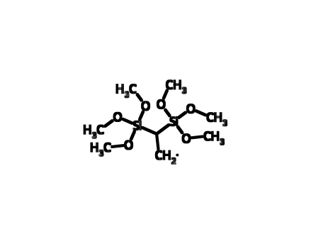 [CH2]C([Si](OC)(OC)OC)[Si](OC)(OC)OC